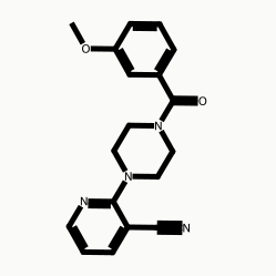 COc1cccc(C(=O)N2CCN(c3ncccc3C#N)CC2)c1